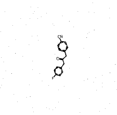 N#Cc1ccc(CC(=O)Cc2ccc(F)cc2)cc1